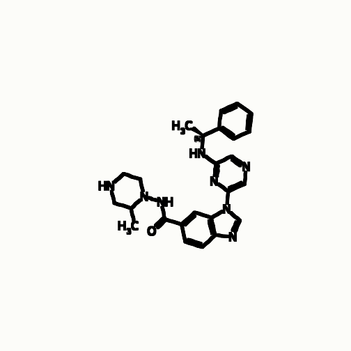 CC1CNCCN1NC(=O)c1ccc2ncn(-c3cncc(N[C@@H](C)c4ccccc4)n3)c2c1